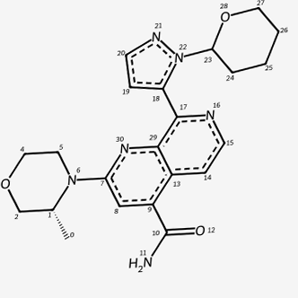 C[C@@H]1COCCN1c1cc(C(N)=O)c2ccnc(-c3ccnn3C3CCCCO3)c2n1